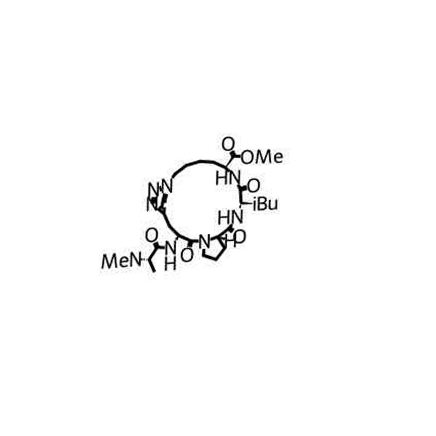 CC[C@H](C)[C@@H]1NC(=O)[C@@H]2CCCN2C(=O)[C@@H](NC(=O)[C@H](C)NC)Cc2cn(nn2)CCCC[C@@H](C(=O)OC)NC1=O